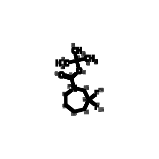 CC(C)(C)OC(=O)N1CCCCC(F)(F)C1